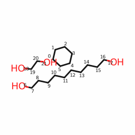 C1CCCCC1.OCCCCCCCCCCO.OCCO